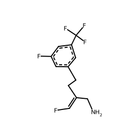 NC/C(=C/F)CCc1cc(F)cc(C(F)(F)F)c1